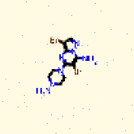 Nc1c(Br)c(N2CCN(N)CC2)nc2c(Br)cnn12